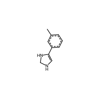 Cc1cccc(C2=CNCN2)c1